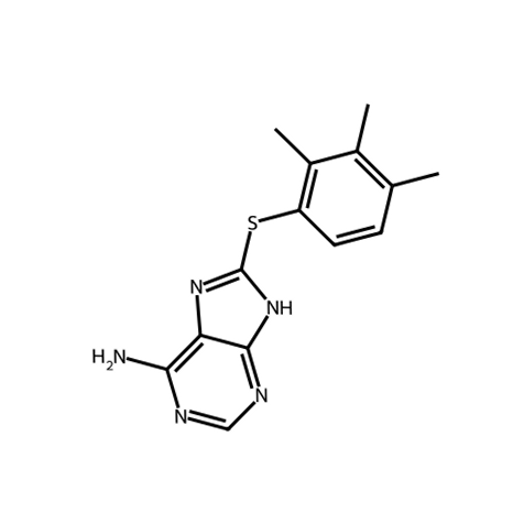 Cc1ccc(Sc2nc3c(N)ncnc3[nH]2)c(C)c1C